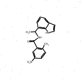 Cc1ccc([N+](=O)[O-])cc1C(=O)NC(C)c1cccc2cc[nH]c12